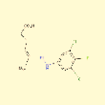 O=C(O)CC/C=C(\NNc1cc(Cl)c(F)c(Cl)c1)C(=O)O